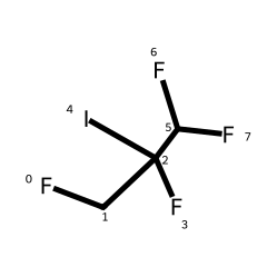 FCC(F)(I)C(F)F